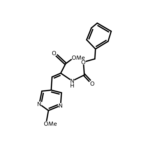 COC(=O)C(=Cc1cnc(OC)nc1)NC(=O)OCc1ccccc1